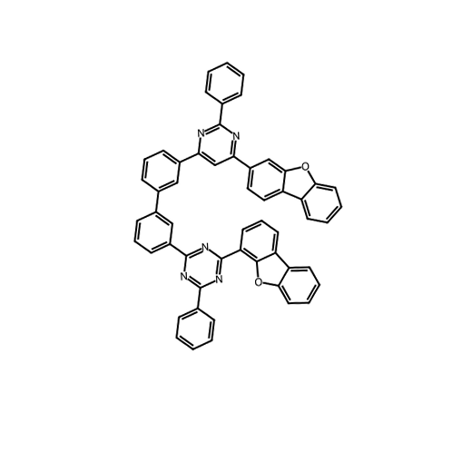 c1ccc(-c2nc(-c3cccc(-c4cccc(-c5nc(-c6ccccc6)nc(-c6cccc7c6oc6ccccc67)n5)c4)c3)cc(-c3ccc4c(c3)oc3ccccc34)n2)cc1